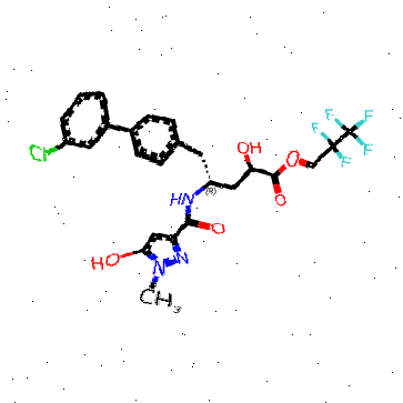 Cn1nc(C(=O)N[C@H](Cc2ccc(-c3cccc(Cl)c3)cc2)CC(O)C(=O)OCC(F)(F)C(F)(F)F)cc1O